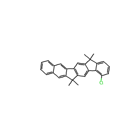 CC1(C)c2cc3c(cc2-c2cc4ccccc4cc21)C(C)(C)c1cccc(Cl)c1-3